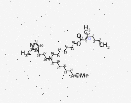 C=CCC/C(C)=C/C(=O)OCCCCCCCN(CCCCCCCOC)CCCn1ccnc1C